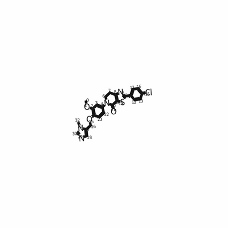 COc1cc(N2CCc3nc(-c4ccc(Cl)cc4)sc3C2=O)ccc1OCc1cncn1C